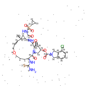 NC(=S)N[C@H]1CCCOCC=C[C@@H]2C[C@@]2(C(=O)NS(=O)(=O)C2CC2)NC(=O)[C@@H]2C[C@@H](OC(=O)N3Cc4cccc(Cl)c4C3)CN2C1=O